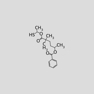 CC(S)OC(=O)C(C)(C)CCC(C)OC(=O)c1ccccc1